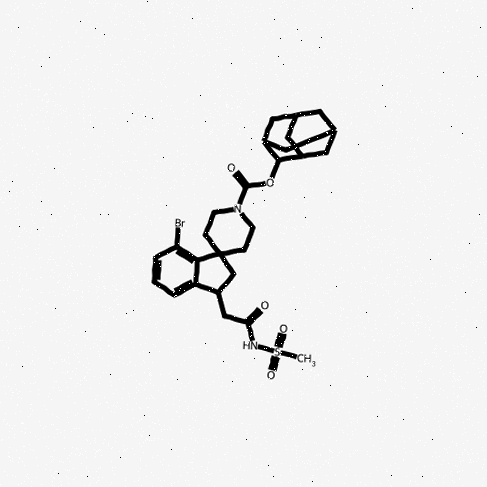 CS(=O)(=O)NC(=O)CC1CC2(CCN(C(=O)OC3C4CC5CC(C4)CC3C5)CC2)c2c(Br)cccc21